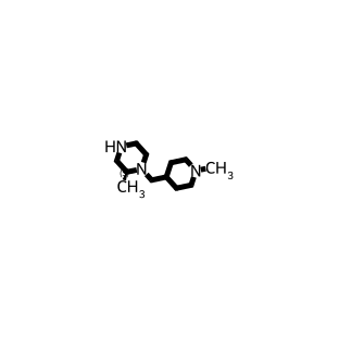 C[C@H]1CNCCN1CC1CCN(C)CC1